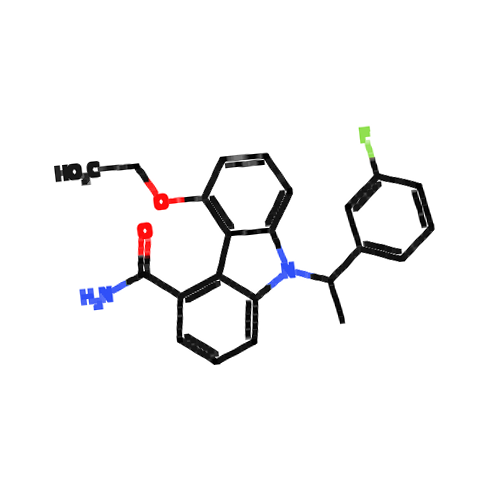 CC(c1cccc(F)c1)n1c2cccc(OCC(=O)O)c2c2c(C(N)=O)cccc21